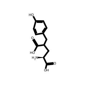 N[C@@H](CC(Cc1ccc(O)cc1)C(=O)O)C(=O)O